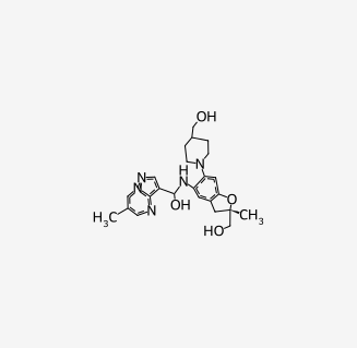 Cc1cnc2c(C(O)Nc3cc4c(cc3N3CCC(CO)CC3)O[C@](C)(CO)C4)cnn2c1